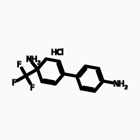 Cl.Nc1ccc(C2=CCC(N)(C(F)(F)F)C=C2)cc1